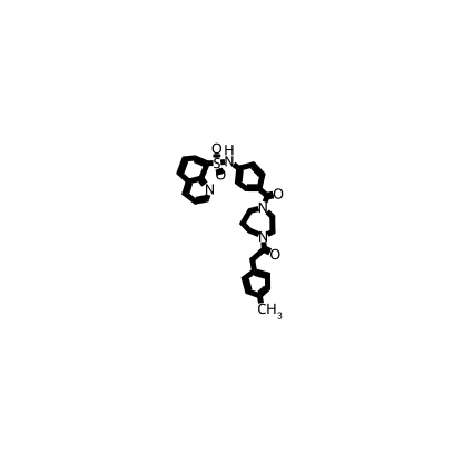 Cc1ccc(CC(=O)N2CCCN(C(=O)c3ccc(NS(=O)(=O)c4cccc5cccnc45)cc3)CC2)cc1